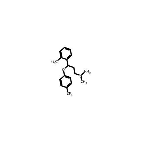 Cc1ccccc1C(CCN(C)N)Oc1ccc(C(F)(F)F)cc1